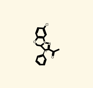 CC(=O)C1=NN2c3cc(Cl)ccc3OCC2[C@@H]1c1ccccc1